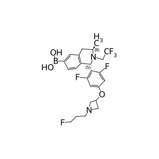 C[C@@H]1Cc2cc(B(O)O)ccc2[C@@H](c2c(F)cc(OC3CN(CCCF)C3)cc2F)N1CC(F)(F)F